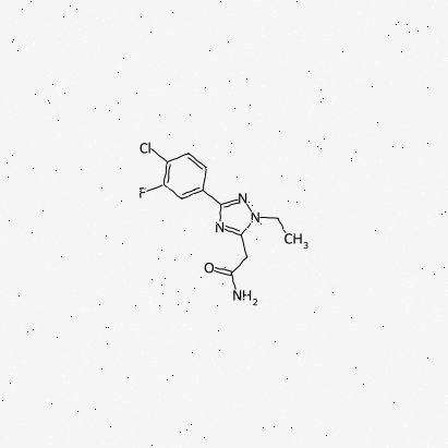 CCn1nc(-c2ccc(Cl)c(F)c2)nc1CC(N)=O